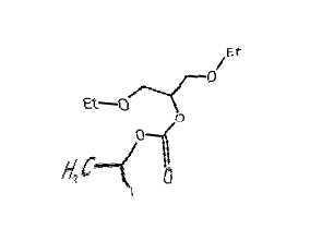 CCOCC(COCC)OC(=O)OC(C)I